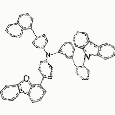 c1cc(-c2ccccc2-n2c3ccccc3c3ccccc32)cc(N(c2ccc(-c3cccc4ccccc34)cc2)c2ccc(-c3cccc4c3oc3ccccc34)cc2)c1